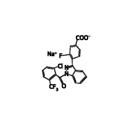 O=C([O-])c1ccc(-c2nn(C(=O)c3c(Cl)cccc3C(F)(F)F)c3ccccc23)c(F)c1.[Na+]